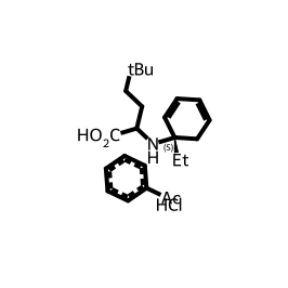 CC(=O)c1ccccc1.CC[C@@]1(NC(CCC(C)(C)C)C(=O)O)C=CC=CC1.Cl